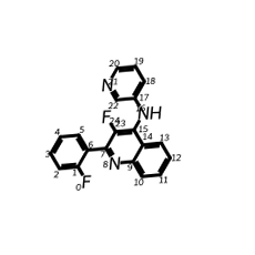 Fc1ccccc1-c1nc2ccccc2c(Nc2cccnc2)c1F